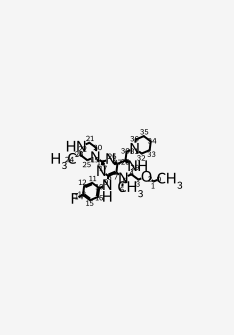 CCOCCN(C)c1c(Nc2ccc(F)cc2)nc(N2CCN[C@@H](C)C2)nc1C(=N)CN1CCCCC1